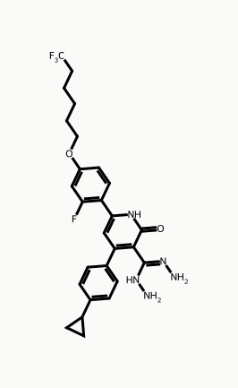 N/N=C(\NN)c1c(-c2ccc(C3CC3)cc2)cc(-c2ccc(OCCCCCC(F)(F)F)cc2F)[nH]c1=O